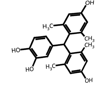 Cc1cc(O)cc(C)c1C(c1ccc(O)c(O)c1)c1c(C)cc(O)cc1C